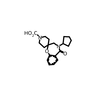 O=C(O)N1CCC2(CC1)CN(C1CCCC1)C(=O)c1ccccc1O2